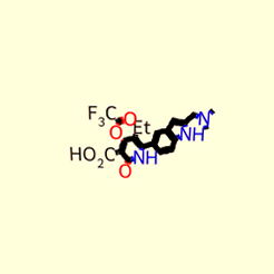 CCc1c(-c2ccc3[nH]c(CN(C)C)cc3c2)[nH]c(=O)c(C(=O)O)c1OC(=O)C(F)(F)F